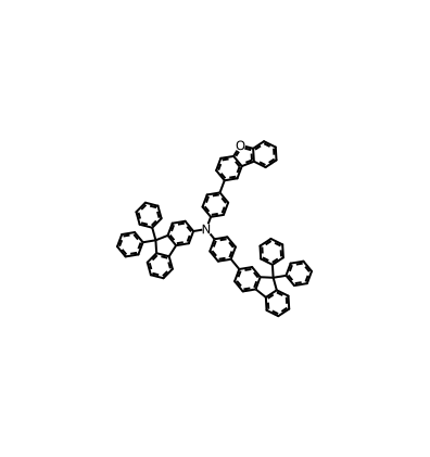 c1ccc(C2(c3ccccc3)c3ccccc3-c3cc(N(c4ccc(-c5ccc6c(c5)C(c5ccccc5)(c5ccccc5)c5ccccc5-6)cc4)c4ccc(-c5ccc6oc7ccccc7c6c5)cc4)ccc32)cc1